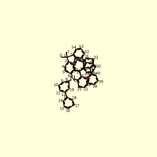 CC1(C)c2ccc(N(c3cccc(-c4ccccc4)c3)c3ccccc3-c3cccc4cccc(-c5ccccc5)c34)cc2-c2c(-c3ccccc3)cccc21